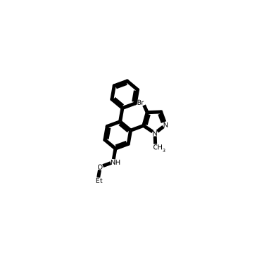 CCONc1ccc(-c2ccccc2)c(-c2c(Br)cnn2C)c1